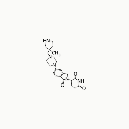 CC1(CN2CCN(c3ccc4c(c3)CN(C3CCC(=O)NC3=O)C4=O)CC2)CCNCC1